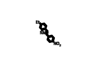 CCc1ccc(C=Cc2ccc([N+](=O)[O-])cc2)c(NC)c1